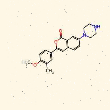 COc1ccc(-c2cc3ccc(N4CCNCC4)cc3c(=O)o2)cc1C